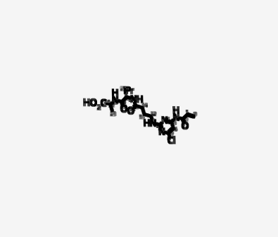 C=CC(=O)Nc1cc(Cl)nc(NCCCC(=O)N[C@H](C(=O)N[C@@H](C)C(=O)O)C(C)C)n1